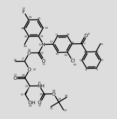 Cc1ccccc1C(=O)c1ccc(N(C(=O)OC(C)OC(=O)[C@H](CO)NC(=O)OC(C)(C)C)c2ccc(F)cc2C)cc1Cl